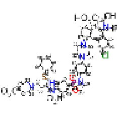 Cc1c(C(=O)O)c(-c2cccc(N3CCN(c4ccc(N5CCO[P@]5(=O)c5ccc(N[C@@H](CCN6CCC(C(=O)O)CC6)CSc6ccccc6)c([N+](=O)[O-])c5)cc4)CC3)c2)c(-c2ccc(Cl)cc2)n1C(C)C